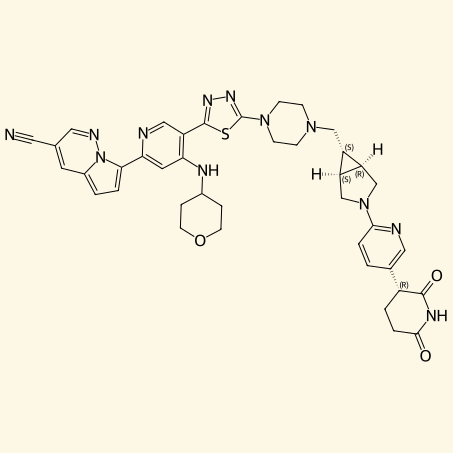 N#Cc1cnn2c(-c3cc(NC4CCOCC4)c(-c4nnc(N5CCN(C[C@@H]6[C@H]7CN(c8ccc([C@H]9CCC(=O)NC9=O)cn8)C[C@@H]67)CC5)s4)cn3)ccc2c1